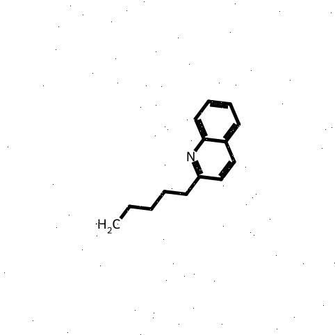 [CH2]CCCCc1ccc2ccccc2n1